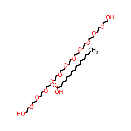 CCCCCCCCCCCCCCC(=O)O.OCCOCCOCCOCCOCCOCCOCCOCCOCCOCCOCCOCCO